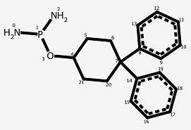 NP(N)OC1CCC(c2ccccc2)(c2ccccc2)CC1